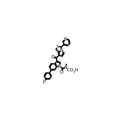 CN(C(=O)O)C(=O)n1cc(C(=O)c2ccn3c2CSC3c2cccnc2)c2ccc(-c3ccc(F)cc3)cc21